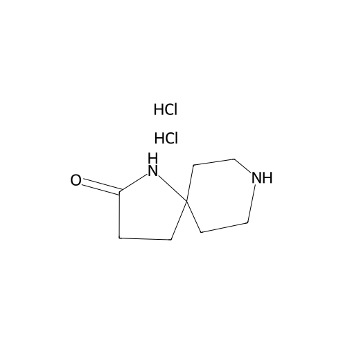 Cl.Cl.O=C1CCC2(CCNCC2)N1